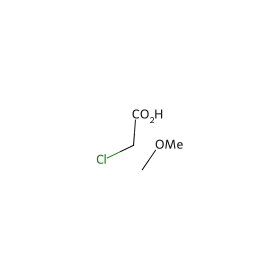 COC.O=C(O)CCl